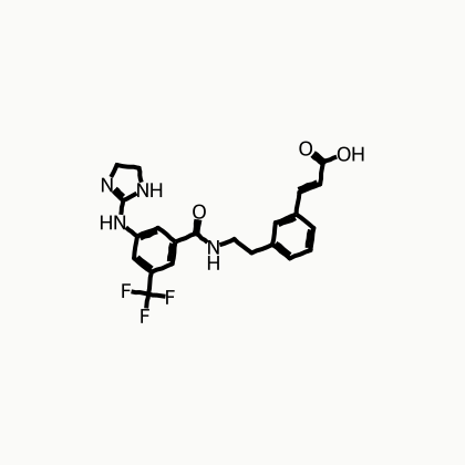 O=C(O)C=Cc1cccc(CCNC(=O)c2cc(NC3=NCCN3)cc(C(F)(F)F)c2)c1